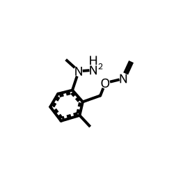 C=NOCc1c(C)cccc1N(C)N